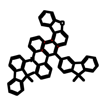 CC1(C)c2ccccc2-c2cc(-c3ccccc3-c3ccccc3N(c3cccc(-c4cccc5oc6ccccc6c45)c3)c3cccc4c3C(C)(C)c3ccccc3-4)ccc21